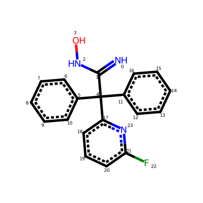 N=C(NO)C(c1ccccc1)(c1ccccc1)c1cccc(F)n1